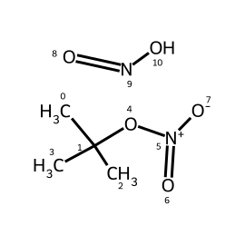 CC(C)(C)O[N+](=O)[O-].O=NO